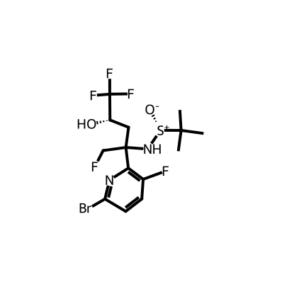 CC(C)(C)[S@@+]([O-])NC(CF)(C[C@H](O)C(F)(F)F)c1nc(Br)ccc1F